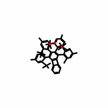 Cc1cc(C)c(-c2c3c(c(-c4c(C)cc(C)cc4C(C)(C)C)c(-c4c(C)cc(C)cc4C(C)(C)C)c2-c2c(C)cc(C)cc2C(C)(C)C)-c2ccccc2-3)c(C(C)(C)C)c1